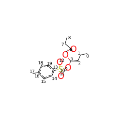 CCC[C@H](OC(=O)CC)OS(=O)(=O)c1ccc(C)cc1